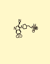 N#Cc1cnc2cc3c(cc2c1N1CCC(CCN[SH](=O)=O)CC1)OCO3